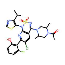 CC(=O)N1CC(C)N(C2=NS(=O)(=O)N(c3scnc3C(C)C)c3nc(-c4c(O)cccc4F)c(Cl)cc32)CC1C